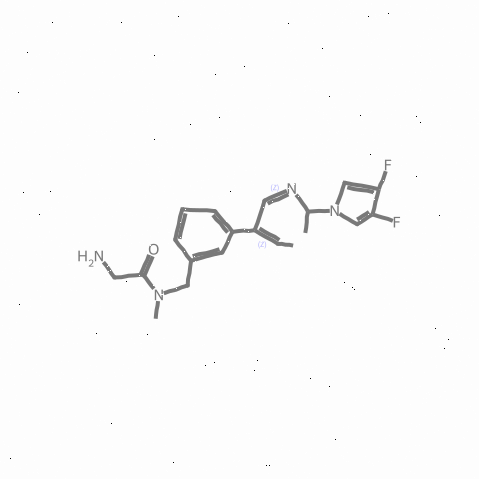 C/C=C(\C=N/C(C)n1cc(F)c(F)c1)c1cccc(CN(C)C(=O)CN)c1